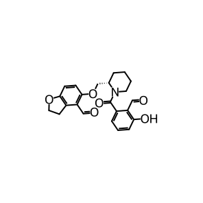 O=Cc1c(O)cccc1C(=O)N1CCCC[C@H]1COc1ccc2c(c1C=O)CCO2